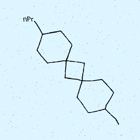 CCCC1CCC2(CC1)CC1(CCC(C)CC1)C2